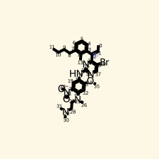 C/C=C(\c1cccc(CCCC)c1C)c1nc(Nc2cc([N+](=O)[O-])c(N(C)CCN(C)C)cc2OC)ncc1Br